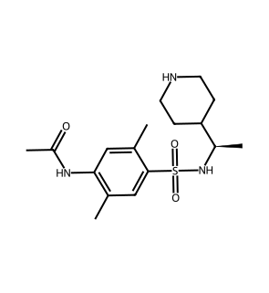 CC(=O)Nc1cc(C)c(S(=O)(=O)N[C@H](C)C2CCNCC2)cc1C